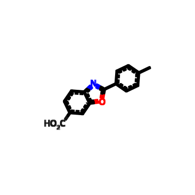 Cc1ccc(-c2nc3ccc(C(=O)O)cc3o2)cc1